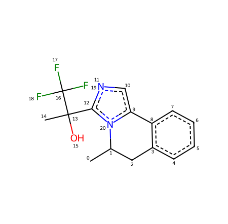 CC1Cc2ccccc2-c2cnc(C(C)(O)C(F)(F)F)n21